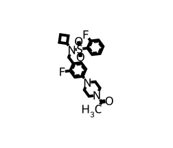 CC(=O)N1CCN(c2ccc(CN(C3CCC3)S(=O)(=O)c3ccccc3F)c(F)c2)CC1